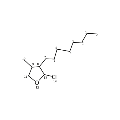 CCCCCCCCC1C(C)COC1Cl